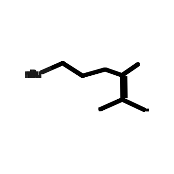 [CH2]C(C)=C(C)CCCCCCC